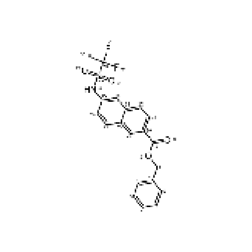 O=C(OCc1ccccc1)c1ccc2cc(NS(=O)(=O)C(F)(F)F)ccc2c1